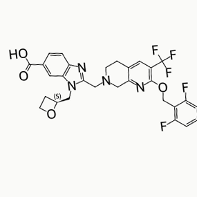 Cc1cc(F)c(COc2nc3c(cc2C(F)(F)F)CCN(Cc2nc4ccc(C(=O)O)cc4n2C[C@@H]2CCO2)C3)c(F)c1